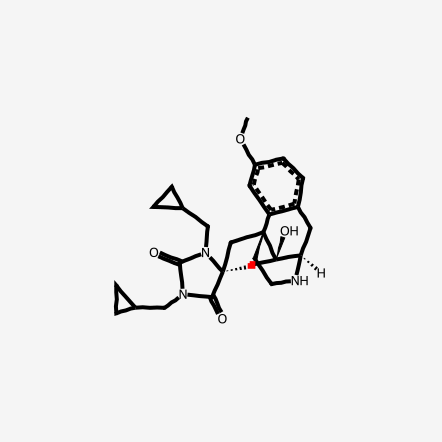 COc1ccc2c(c1)[C@]13CCN[C@H](C2)[C@]1(O)CC[C@]1(C3)C(=O)N(CC2CC2)C(=O)N1CC1CC1